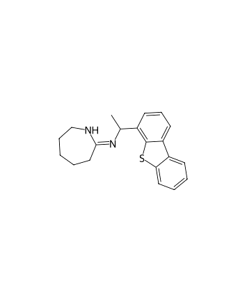 CC(N=C1CCCCCN1)c1cccc2c1sc1ccccc12